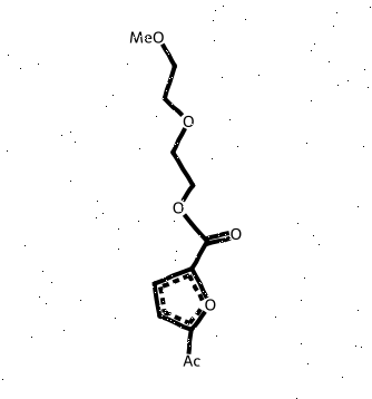 COCCOCCOC(=O)c1ccc(C(C)=O)o1